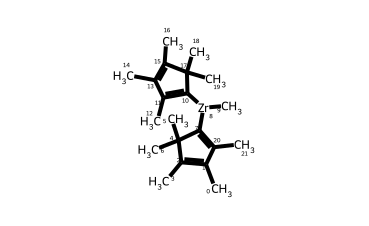 CC1=C(C)C(C)(C)[C]([Zr]([CH3])[C]2=C(C)C(C)=C(C)C2(C)C)=C1C